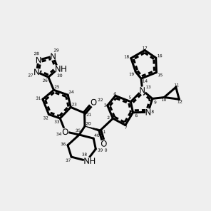 O=C(c1ccc2c(c1)nc(C1CC1)n2-c1ccccc1)[C@@H]1C(=O)c2cc(-c3nnn[nH]3)ccc2OC12CCNCC2